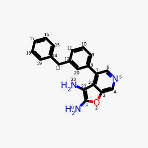 Nc1oc2cncc(-c3cccc(Cc4ccccc4)c3)c2c1N